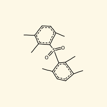 Cc1ccc(C)c(S(=O)(=O)c2c(C)ccc(C)c2C)c1C